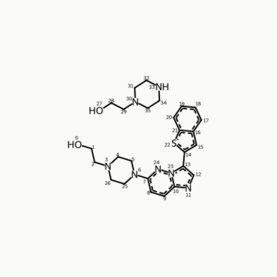 OCCN1CCN(c2ccc3ncc(-c4cc5ccccc5s4)n3n2)CC1.OCCN1CCNCC1